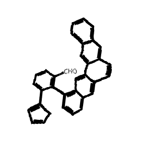 O=Cc1cccc(C2=CC=CC2)c1-c1cccc2cc3ccc4cc5ccccc5cc4c3cc12